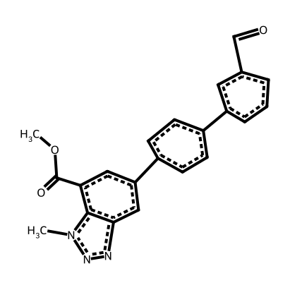 COC(=O)c1cc(-c2ccc(-c3cccc(C=O)c3)cc2)cc2nnn(C)c12